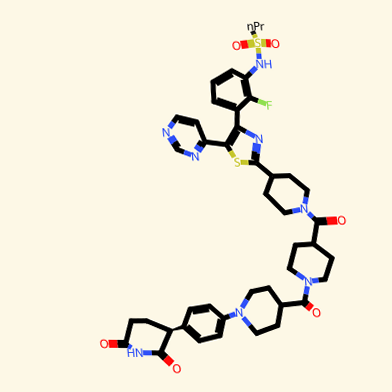 CCCS(=O)(=O)Nc1cccc(-c2nc(C3CCN(C(=O)C4CCN(C(=O)C5CCN(c6ccc([C@@H]7CCC(=O)NC7=O)cc6)CC5)CC4)CC3)sc2-c2ccncn2)c1F